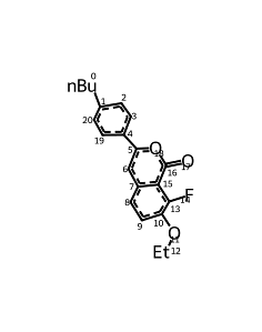 CCCCc1ccc(-c2cc3ccc(OCC)c(F)c3c(=O)o2)cc1